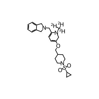 [2H]C([2H])([2H])N1CC(OCC2CCN(S(=O)(=O)C3CC3)CC2)=CC=C1CN1Cc2ccccc2C1